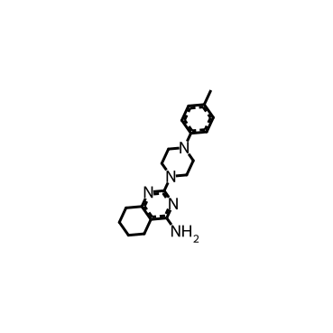 Cc1ccc(N2CCN(c3nc(N)c4c(n3)CCCC4)CC2)cc1